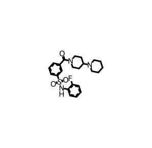 O=C(c1cccc(S(=O)(=O)Nc2ccccc2F)c1)N1CCC(N2CCCCC2)CC1